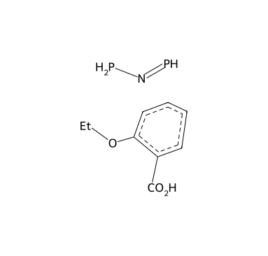 CCOc1ccccc1C(=O)O.P=NP